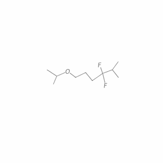 CC(C)OCCCC(F)(F)C(C)C